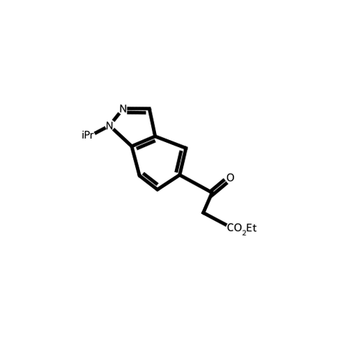 CCOC(=O)CC(=O)c1ccc2c(cnn2C(C)C)c1